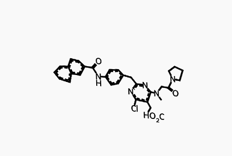 CN(CC(=O)N1CCCC1)c1nc(Cc2ccc(NC(=O)c3ccc4ccccc4c3)cc2)nc(Cl)c1CC(=O)O